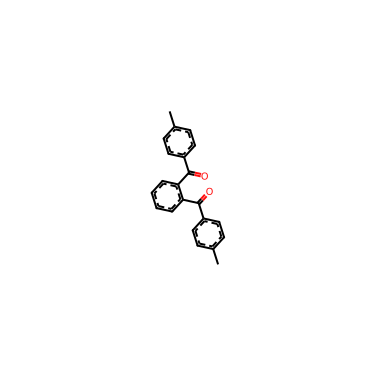 Cc1ccc(C(=O)c2ccccc2C(=O)c2ccc(C)cc2)cc1